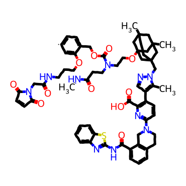 CNC(=O)CCN(CCOC12CC3(C)CC(C)(CC(Cn4ncc(-c5ccc(N6CCc7cccc(C(=O)Nc8nc9ccccc9s8)c7C6)nc5C(=O)O)c4C)(C3)C1)C2)C(=O)OCc1cc[c]cc1OCCCNC(=O)CN1C(=O)C=CC1=O